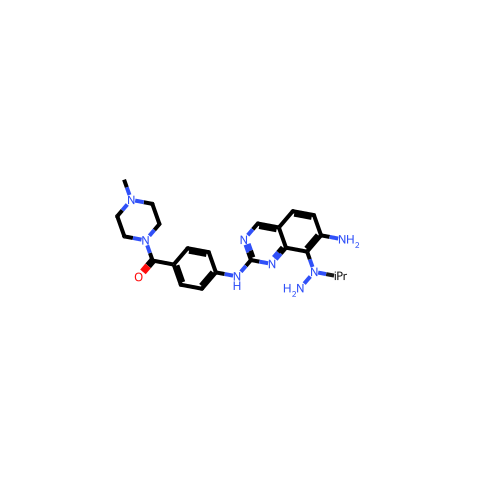 CC(C)N(N)c1c(N)ccc2cnc(Nc3ccc(C(=O)N4CCN(C)CC4)cc3)nc12